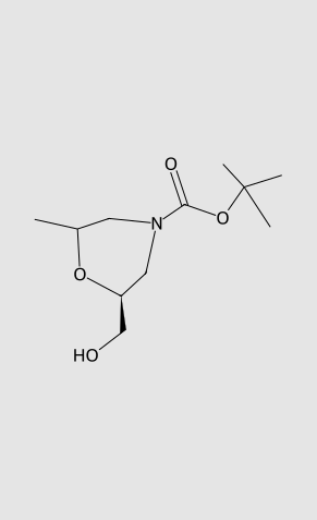 CC1CN(C(=O)OC(C)(C)C)C[C@@H](CO)O1